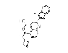 Cc1c(-c2cc(C(=O)O)c3c(O[C@@H](C)C4COC4)ccc(C)c3n2)sc2ccccc12